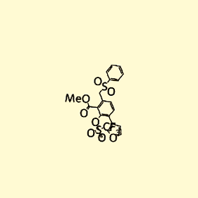 COC(=O)c1c(CS(=O)(=O)c2ccccc2)ccc(-c2ccoc2)c1OS(=O)(=O)C(F)(F)F